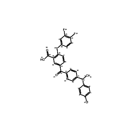 CN(c1ccc(Cl)cc1)c1ccc(C(=O)c2ccc(Sc3ccc(F)c(F)c3)c(C(=O)O)c2)nc1